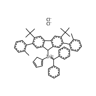 Cc1ccccc1-c1cc2c(cc1C(C)(C)C)-c1cc(C(C)(C)C)c(-c3ccccc3C)cc1[CH]2[Zr+2]([C]1=CC=CC1)=[C](c1ccccc1)c1ccccc1.[Cl-].[Cl-]